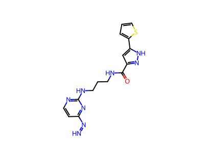 N=Nc1ccnc(NCCCNC(=O)c2cc(-c3cccs3)[nH]n2)n1